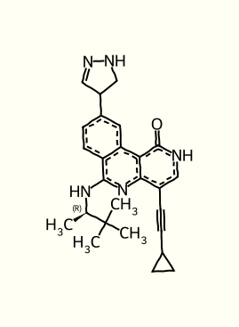 C[C@@H](Nc1nc2c(C#CC3CC3)c[nH]c(=O)c2c2cc(C3C=NNC3)ccc12)C(C)(C)C